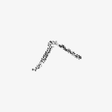 O.O.O.O.O.[NaH].[NaH].[NaH].[NaH].[NaH].[NaH].[NaH].[NaH].[NaH].[NaH].[NaH].[NaH].[NaH].[NaH].[NaH].[NaH].[NaH].[NaH].[NaH].[NaH].[NaH].[NaH].[NaH].[NaH].[NaH].[NaH].[NaH]